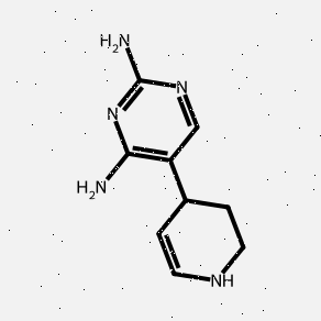 Nc1ncc(C2C=CNCC2)c(N)n1